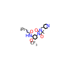 CC(C)/C=C/C(=O)Nc1cc(N2C(=O)N(Cc3ccncc3)C(C)(C)C2=O)ccc1OC(F)(F)F